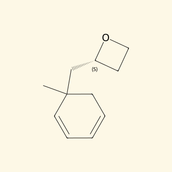 CC1(C[C@H]2CCO2)C=CC=CC1